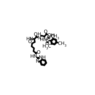 Cc1cc(C)c(S(=O)(=O)NC(CNC(=O)C2CC(CCCC(=O)Nc3nc4ccccc4[nH]3)ON2)C(=O)O)c(C)c1